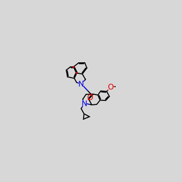 COc1ccc2c(c1)C13CCN(CC4CC4)C(C2)C1OCC(N(Cc1ccccc1)Cc1ccccc1)C3